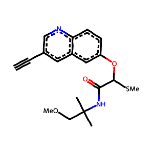 C#Cc1cnc2ccc(OC(SC)C(=O)NC(C)(C)COC)cc2c1